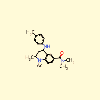 CC(=O)N1c2ccc(C(=O)N(C)C)cc2C(Nc2ccc(C)cc2)CC1C